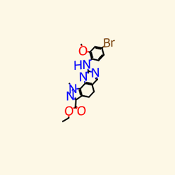 CCOC(=O)c1nn(C)c2c1CCc1cnc(Nc3ccc(Br)cc3OC)nc1-2